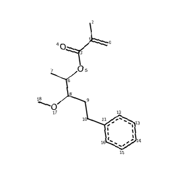 C=C(C)C(=O)OC(C)C(CCc1ccccc1)OC